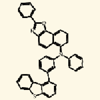 c1ccc(-c2nc3ccc4c(N(c5ccccc5)c5cccc(-c6cccc7sc8ccccc8c67)c5)cccc4c3o2)cc1